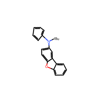 CC(C)(C)N(c1ccccc1)c1ccc2oc3ccccc3c2c1